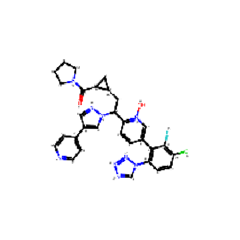 O=C([C@H]1C[C@H]1CC(c1ccc(-c2c(-n3cnnn3)ccc(Cl)c2F)c[n+]1O)n1cc(-c2ccncc2)cn1)N1CCCC1